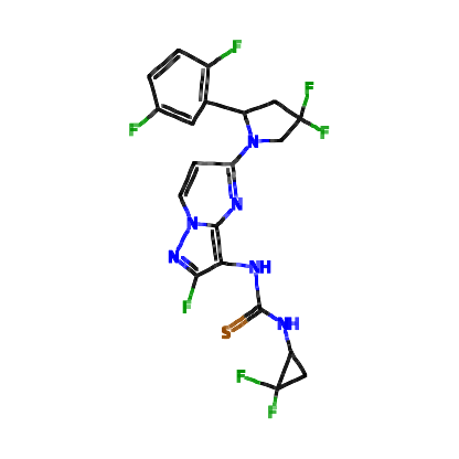 Fc1ccc(F)c(C2CC(F)(F)CN2c2ccn3nc(F)c(NC(=S)NC4CC4(F)F)c3n2)c1